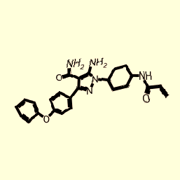 C=CC(=O)NC1CCC(n2nc(-c3ccc(Oc4ccccc4)cc3)c(C(N)=O)c2N)CC1